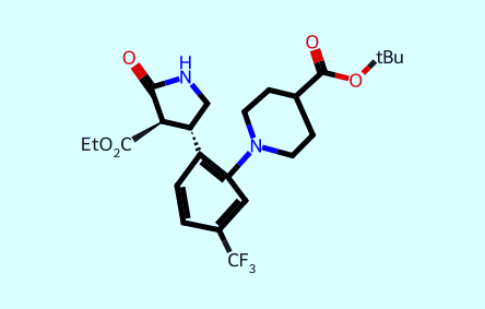 CCOC(=O)[C@H]1C(=O)NC[C@@H]1c1ccc(C(F)(F)F)cc1N1CCC(C(=O)OC(C)(C)C)CC1